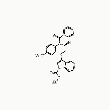 COc1ccc(-n2c(CCc3cn(C(=O)OC(C)(C)C)c4ccccc34)nc3ccccc3c2=O)cc1